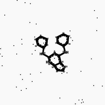 c1ccc(Nc2nc(Nc3ccccc3)c3nccc-3[nH]2)cc1